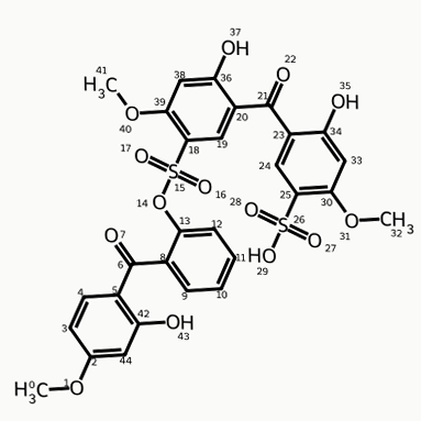 COc1ccc(C(=O)c2ccccc2OS(=O)(=O)c2cc(C(=O)c3cc(S(=O)(=O)O)c(OC)cc3O)c(O)cc2OC)c(O)c1